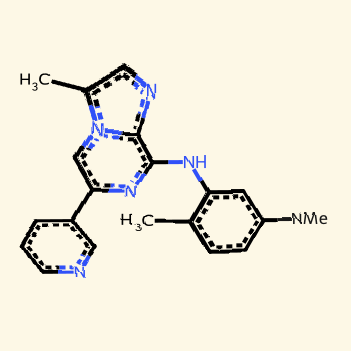 CNc1ccc(C)c(Nc2nc(-c3cccnc3)cn3c(C)cnc23)c1